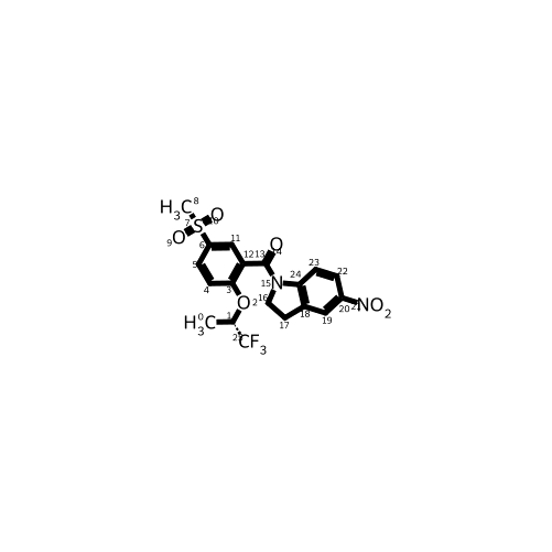 C[C@H](Oc1ccc(S(C)(=O)=O)cc1C(=O)N1CCc2cc([N+](=O)[O-])ccc21)C(F)(F)F